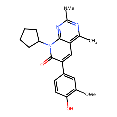 CNc1nc(C)c2cc(-c3ccc(O)c(OC)c3)c(=O)n(C3CCCC3)c2n1